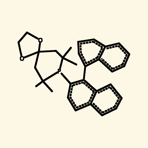 CC1(C)CC2(CC(C)(C)P1c1ccc3ccccc3c1-c1cccc3ccccc13)OCCO2